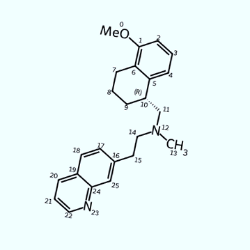 COc1cccc2c1CCC[C@H]2CN(C)CCc1ccc2cccnc2c1